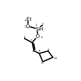 CCO[SiH](C)OC(C)=CC1CCC1